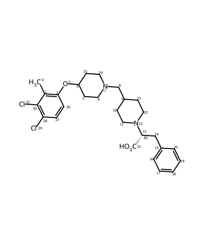 Cc1c(OC2CCN(CC3CCN([C@H](Cc4ccccc4)C(=O)O)CC3)CC2)ccc(Cl)c1Cl